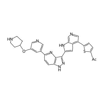 CC(=O)c1ccc(-c2cncc3[nH]c(-c4n[nH]c5ccc(-c6cncc(OC7CCNCC7)c6)nc45)cc23)s1